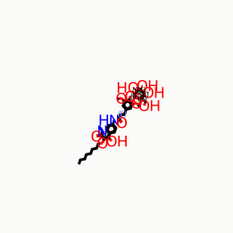 CCCCCCCCOc1c(O)c2ccc(NC(=O)/C=C/c3cc(OC)c(O[C@H]4O[C@H](CO)[C@@H](O)[C@H](O)[C@@H]4O)c(OC)c3)cc2n(C)c1=O